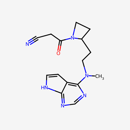 CN(CCC1CCN1C(=O)CC#N)c1ncnc2[nH]ccc12